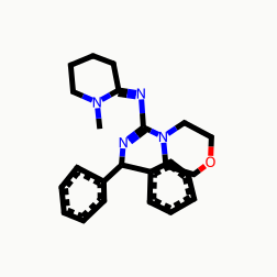 CN1CCCCC1=NC(=NC(c1ccccc1)c1ccccc1)N1CCOCC1